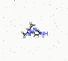 CNc1ccc(-n2nc(C3CC3)cc2C2CC2)nc1